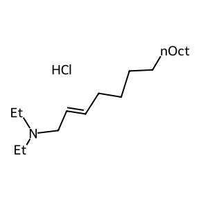 CCCCCCCCCCCCC=CCN(CC)CC.Cl